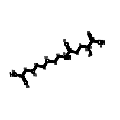 C=C(O)[C@@H](C)CCC(=O)NCCOCCOCC(=O)O